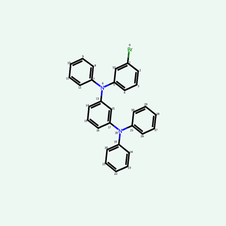 Brc1cccc(N(c2ccccc2)c2cccc(N(c3ccccc3)c3ccccc3)c2)c1